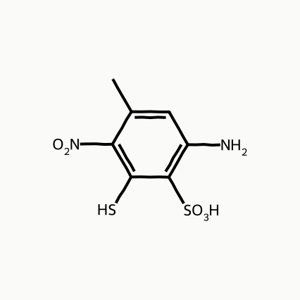 Cc1cc(N)c(S(=O)(=O)O)c(S)c1[N+](=O)[O-]